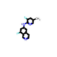 Cc1cnc(Nc2cc(F)c3cnccc3c2)c(F)c1